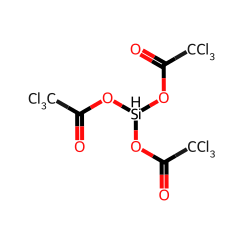 O=C(O[SiH](OC(=O)C(Cl)(Cl)Cl)OC(=O)C(Cl)(Cl)Cl)C(Cl)(Cl)Cl